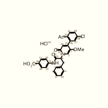 COc1cn(C(Cc2ccccc2)C(=O)Nc2ccc(C(=O)O)cc2)c(=O)cc1-c1cc(Cl)ccc1C(C)=O.Cl